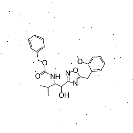 COc1ccccc1Cc1nc(C(O)[C@@H](NC(=O)OCc2ccccc2)C(C)C)no1